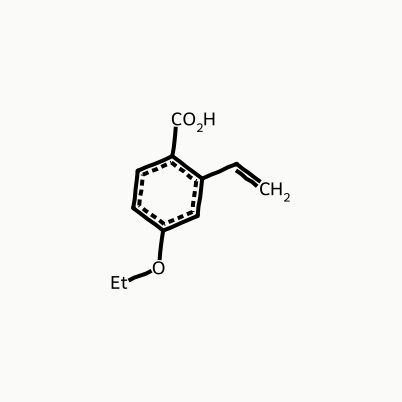 C=Cc1cc(OCC)ccc1C(=O)O